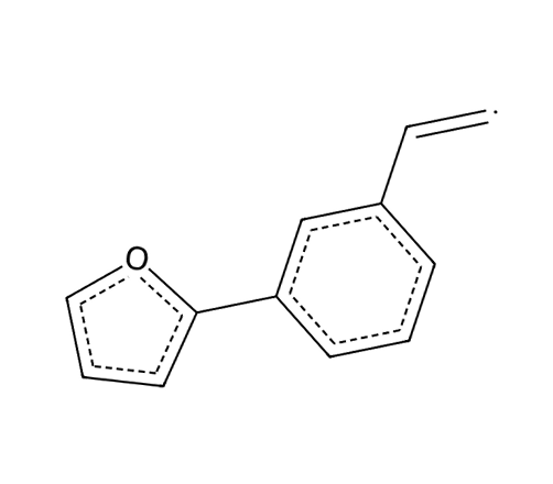 [CH]=Cc1cccc(-c2ccco2)c1